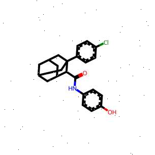 O=C(Nc1ccc(O)cc1)C1C2CC3CC(C2)CC1(c1ccc(Cl)cc1)C3